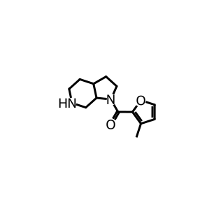 Cc1ccoc1C(=O)N1CCC2CCNCC21